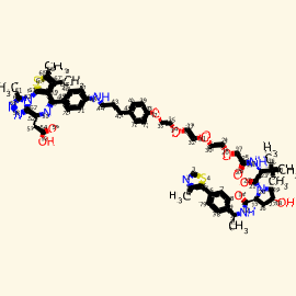 Cc1ncsc1-c1ccc([C@H](C)NC(=O)[C@@H]2C[C@@H](O)CN2C(=O)[C@@H](NC(=O)COCCOCCOCCOc2ccc(CCCNc3ccc(C4=N[C@@H](CC(=O)O)c5nnc(C)n5-c5sc(C)c(C)c54)cc3)cc2)C(C)(C)C)cc1